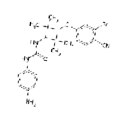 CC1(C)C(NC(=O)Nc2ccc(N)cc2)C(C)(C)C1Oc1ccc(C#N)c(Br)c1